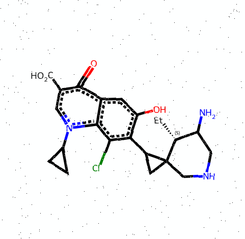 CC[C@@H]1C(N)CNCC12CC2c1c(O)cc2c(=O)c(C(=O)O)cn(C3CC3)c2c1Cl